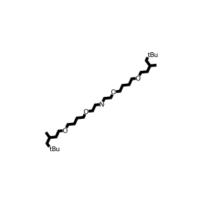 CC(CCOCCCCOCC[N]CCOCCCCOCCC(C)CC(C)(C)C)CC(C)(C)C